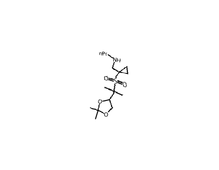 CCCNCC1(S(=O)(=O)C(C)(C)C2COC(C)(C)O2)CC1